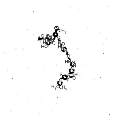 Cc1ncsc1-c1ccc(CNC(=O)[C@@H]2C[C@@H](O)CN2C(=O)[C@@H](NC(=O)C2(F)CC2)C(C)(C)C)c(OCCNC(=O)CN2CCN(CCOCCNc3cc(N4CCC5(CC4)CN(c4cc(F)c(CN6CCC(C)(C)CC6)cc4F)CC(=O)N5)ncn3)CC2)c1